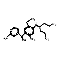 CCCC(CCC)Nc1cc(N)c(C(=N)c2ccnc(C)c2)cc1CC